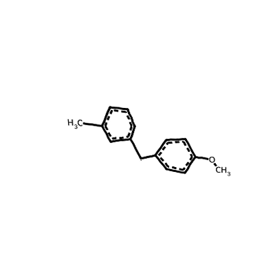 COc1ccc([CH]c2cccc(C)c2)cc1